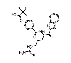 N=C(N)NCCCC(NC(=O)c1ccccc1)C(=O)c1nc2ccccc2s1.O=C(O)C(F)(F)F